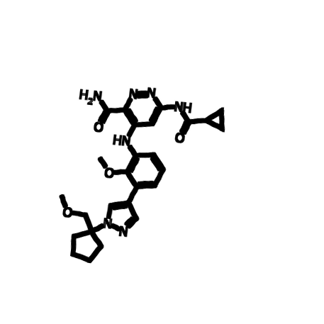 COCC1(n2cc(-c3cccc(Nc4cc(NC(=O)C5CC5)nnc4C(N)=O)c3OC)cn2)CCCC1